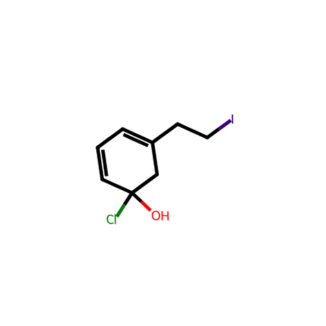 OC1(Cl)C=CC=C(CCI)C1